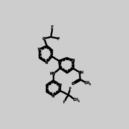 CC(=O)Nc1cc(Nc2ccnc(C(C)(F)F)n2)c(-c2cc(OC(F)F)ncn2)cn1